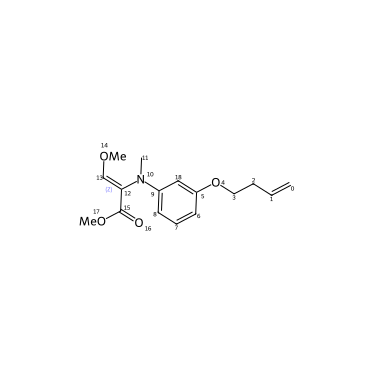 C=CCCOc1cccc(N(C)/C(=C\OC)C(=O)OC)c1